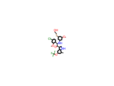 COc1cc(NC(C(=O)c2c[nH]c3c(C)cc(OC(F)(F)F)cc23)c2ccc(Cl)cc2OC)cc(SCCO)c1